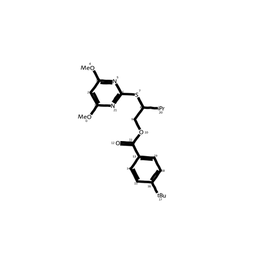 COc1cc(OC)nc(SC(COC(=O)c2ccc(C(C)(C)C)cc2)C(C)C)n1